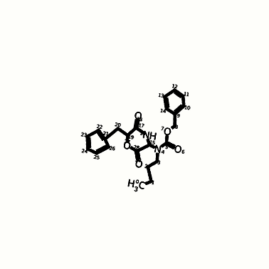 CCCCN(C(=O)OCc1ccccc1)C1NC(=O)C(Cc2ccccc2)OC1=O